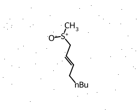 CCCCCC=CC[S+](C)[O-]